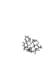 NC(Cc1ncccc1-c1ccc(F)c(S(N)(=O)=O)c1)c1cc(F)cc(F)c1